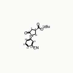 CC(C)(C)OC(=O)[C@@H]1CC(=O)N(c2cccc(C#N)c2)C1